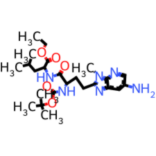 CCOC(=O)C(CC(C)C)NC(=O)C(CCc1nc2cc(N)cnc2n1C)NC(=O)OC(C)(C)C